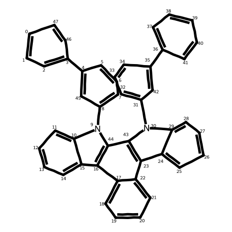 c1ccc(-c2cccc(-n3c4ccccc4c4c5ccccc5c5c6ccccc6n(-c6cccc(-c7ccccc7)c6)c5c43)c2)cc1